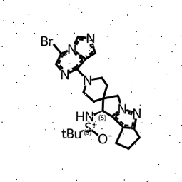 CC(C)(C)[S@@+]([O-])N[C@@H]1c2c3c(nn2CC12CCN(c1ncc(Br)n4cncc14)CC2)CCC3